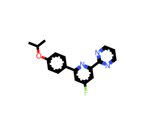 CC(C)Oc1ccc(-c2cc(F)cc(-c3ncccn3)n2)cc1